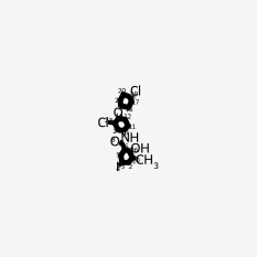 Cc1cc(I)cc(C(=O)Nc2ccc(Oc3ccc(Cl)cc3)c(Cl)c2)c1O